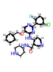 O=C(NC1CCNCC1)c1cnccc1Nc1nc(-c2cc(Cl)ccc2F)ncc1OCc1ccccc1